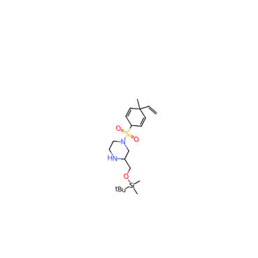 C=CC1(C)C=CC(S(=O)(=O)N2CCNC(CO[Si](C)(C)C(C)(C)C)C2)C=C1